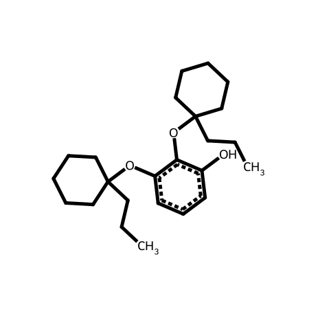 CCCC1(Oc2cccc(O)c2OC2(CCC)CCCCC2)CCCCC1